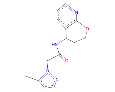 Cc1ccnn1CC(=O)NC1CCOc2ncccc21